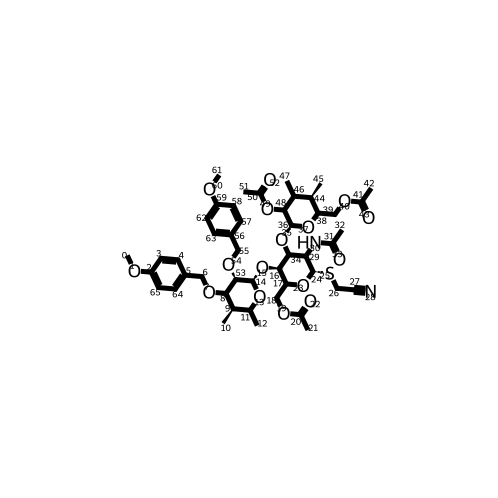 COc1ccc(COC2[C@H](C)C(C)O[C@@H](O[C@@H]3C(COC(C)=O)O[C@@H](SCC#N)C(NC(C)=O)C3O[C@@H]3OC(COC(C)=O)[C@H](C)C(C)C3OC(C)=O)[C@H]2OCc2ccc(OC)cc2)cc1